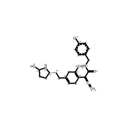 C=C=C(C(=O)NCc1ccc(Cl)cc1)C1=C(C)CC(CC[C@@H]2CCC(O)N2)=CC1